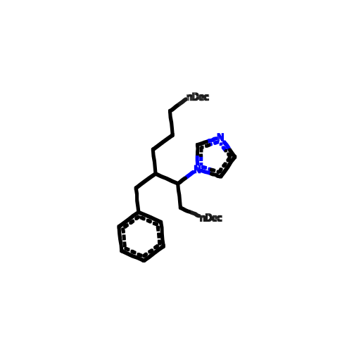 CCCCCCCCCCCCCC(Cc1ccccc1)C(CCCCCCCCCCC)n1ccnc1